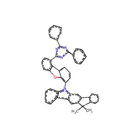 CC1(C)c2ccccc2-c2cc3c(cc21)c1ccccc1n3C1=C2Oc3cccc(-c4nc(-c5ccccc5)nc(-c5ccccc5)n4)c3C2CC=C1